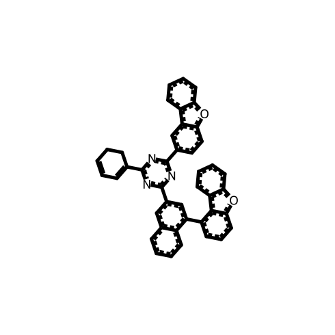 C1=CCCC(c2nc(-c3cc(-c4cccc5oc6ccccc6c45)c4ccccc4c3)nc(-c3ccc4oc5ccccc5c4c3)n2)=C1